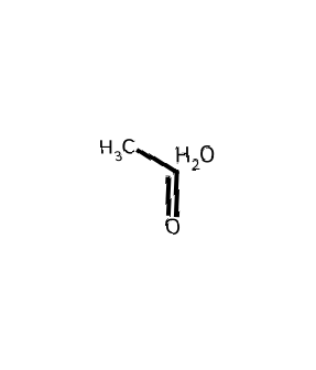 CC=O.O